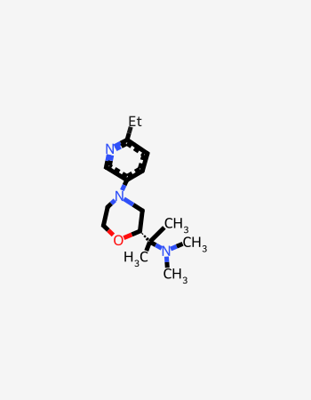 CCc1ccc(N2CCO[C@@H](C(C)(C)N(C)C)C2)cn1